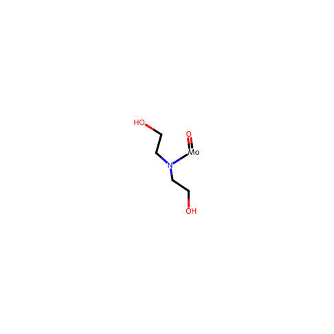 [O]=[Mo][N](CCO)CCO